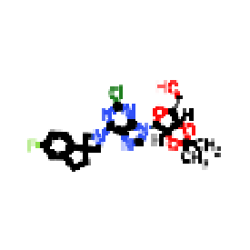 CC1(C)O[C@@H]2[C@H](O1)[C@@H](CO)O[C@H]2n1cnc2c(N3CC4(CCc5cc(F)ccc54)C3)nc(Cl)nc21